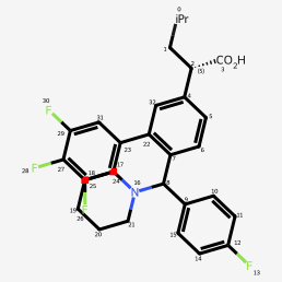 CC(C)C[C@H](C(=O)O)c1ccc(C(c2ccc(F)cc2)N2CCCCC2)c(-c2cc(F)c(F)c(F)c2)c1